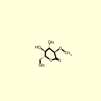 CO[C@H]1C(=O)O[C@H](CO)[C@@H](O)[C@@H]1O